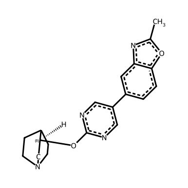 Cc1nc2cc(-c3cnc(O[C@H]4CN5CCC4CC5)nc3)ccc2o1